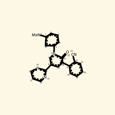 CNc1cccc(-n2cc(-c3ncccn3)cc(-c3ccccc3C#N)c2=O)c1